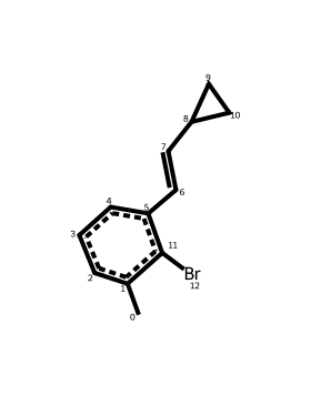 Cc1cccc(/C=C/C2CC2)c1Br